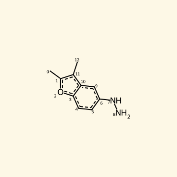 Cc1oc2ccc(NN)cc2c1C